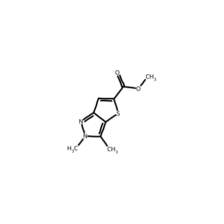 COC(=O)c1cc2nn(C)c(C)c2s1